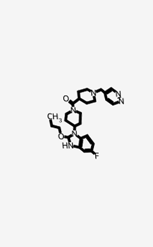 CCCOC1Nc2cc(F)ccc2N1C1CCN(C(=O)C2CCN(Cc3ccnnc3)CC2)CC1